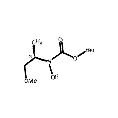 COC[C@@H](C)N(O)C(=O)OC(C)(C)C